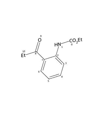 CCOC(=O)Nc1ccccc1C(=O)CC